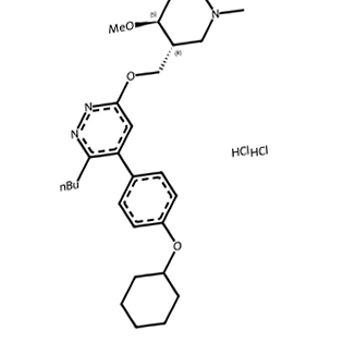 CCCCc1nnc(OC[C@H]2CN(C)CC[C@@H]2OC)cc1-c1ccc(OC2CCCCC2)cc1.Cl.Cl